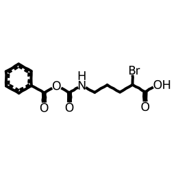 O=C(NCCCC(Br)C(=O)O)OC(=O)c1ccccc1